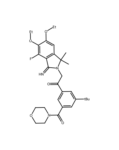 CCOc1cc2c(c(F)c1OCC)C(=N)N(CC(=O)c1cc(C(=O)N3CCOCC3)cc(C(C)(C)C)c1)C2(C)C